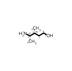 C[C@H](N)[C@H](C)CCO